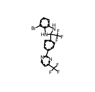 FC(F)(F)c1ccnc(-c2ccc(C3(C(F)(F)F)Nc4cccc(Br)c4N3)cc2)n1